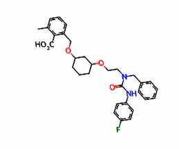 Cc1cccc(COC2CCCC(OCCN(Cc3ccccc3)C(=O)Nc3ccc(F)cc3)C2)c1C(=O)O